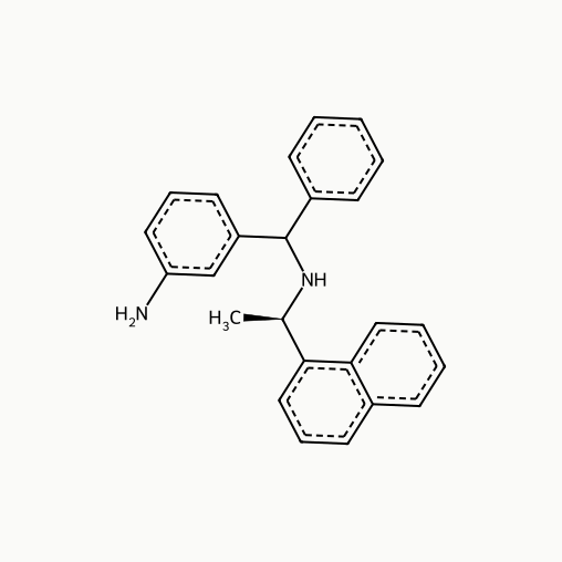 C[C@@H](NC(c1ccccc1)c1cccc(N)c1)c1cccc2ccccc12